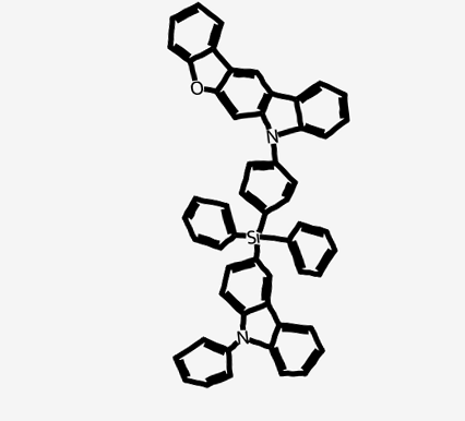 c1ccc(-n2c3ccccc3c3cc([Si](c4ccccc4)(c4ccccc4)c4ccc(-n5c6ccccc6c6cc7c(cc65)oc5ccccc57)cc4)ccc32)cc1